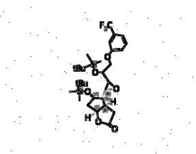 CC(C)(C)[Si](C)(C)OC(COc1cccc(C(F)(F)F)c1)C1O[C@@H]1[C@@H]1[C@H]2CC(=O)O[C@H]2C[C@H]1O[Si](C)(C)C(C)(C)C